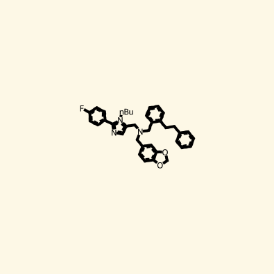 CCCCn1c(CN(Cc2ccc3c(c2)OCO3)Cc2ccccc2CCc2ccccc2)cnc1-c1ccc(F)cc1